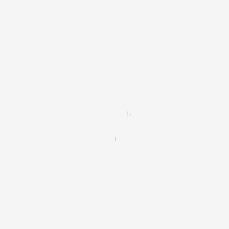 CC(c1ccccc1)N1[CH]CCCC1